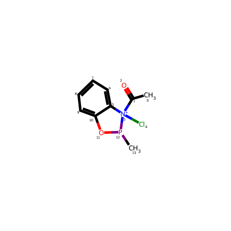 CC(=O)[N+]1(Cl)c2ccccc2OP1C